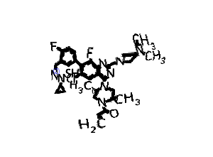 C=CC(=O)N1C[C@H](C)N(c2nc(N3CC(N(C)C)C3)nc3c(F)c(-c4ccc(F)c(/C=N\N(S)C5CC5)c4)c(Cl)cc23)C[C@H]1C